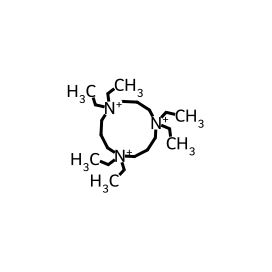 CC[N+]1(CC)CCC[N+](CC)(CC)CCC[N+](CC)(CC)CCC1